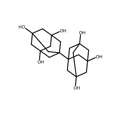 OC12CC3(O)CC(O)(C1)CC(C14CC5(O)CC(O)(CC(O)(C5)C1)C4)(C2)C3